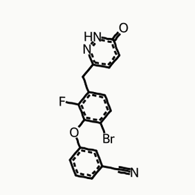 N#Cc1cccc(Oc2c(Br)ccc(Cc3ccc(=O)[nH]n3)c2F)c1